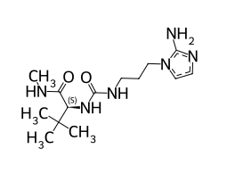 CNC(=O)[C@@H](NC(=O)NCCCn1ccnc1N)C(C)(C)C